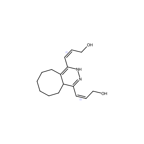 OC/C=C\C1=NNC(/C=C\CO)=C2CCCCCCC12